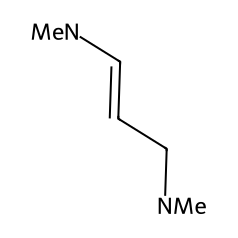 CNC=CCNC